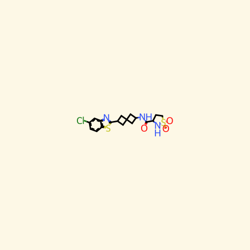 O=C(NC1CC2(C1)CC(c1nc3cc(Cl)ccc3s1)C2)C1CCS(=O)(=O)N1